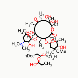 CCC(=O)O.CCCCCCCCCCCCOS(=O)(=O)O.CC[C@H]1OC(=O)[C@H](C)[C@@H](O[C@H]2C[C@@](C)(OC)[C@@H](O)[C@H](C)O2)[C@@H](C)[C@@H](O[C@@H]2O[C@H](C)C[C@H](N(C)C)[C@H]2O)[C@](C)(O)C[C@@H](C)C(=O)[C@H](C)[C@H](O)[C@]1(C)O